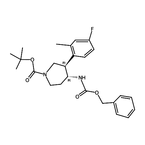 Cc1cc(F)ccc1[C@@H]1CN(C(=O)OC(C)(C)C)CC[C@H]1NC(=O)OCc1ccccc1